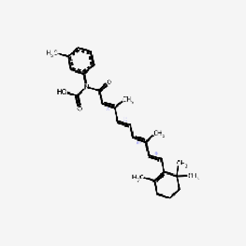 CC1=C(/C=C/C(C)=C/C=C/C(C)=C/C(=O)N(C(=O)O)c2cccc(C)c2)C(C)(C)CCC1